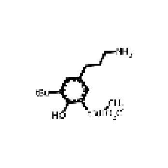 CC(=O)O.CC(C)(C)c1cc(CCCN)cc(C(C)(C)C)c1O